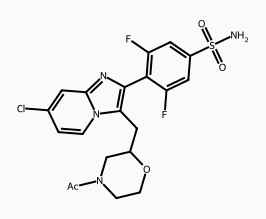 CC(=O)N1CCOC(Cc2c(-c3c(F)cc(S(N)(=O)=O)cc3F)nc3cc(Cl)ccn23)C1